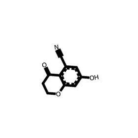 N#Cc1cc(O)cc2c1C(=O)CCO2